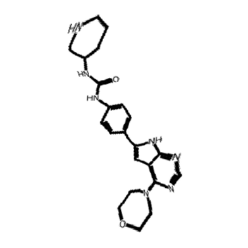 O=C(Nc1ccc(-c2cc3c(N4CCOCC4)ncnc3[nH]2)cc1)NC1CCCNC1